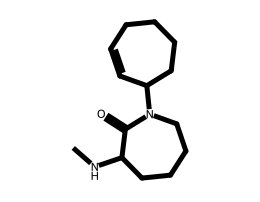 CNC1CCCCN(C2C=CCCCC2)C1=O